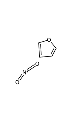 O=[N+]=O.c1ccoc1